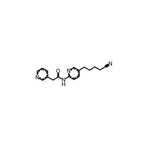 N#CCCCCc1ccc(NC(=O)Cc2cccnc2)nc1